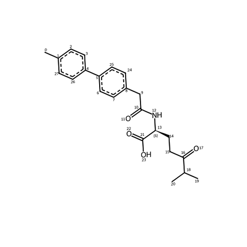 Cc1ccc(-c2ccc(CC(=O)N[C@@H](CCC(=O)C(C)C)C(=O)O)cc2)cc1